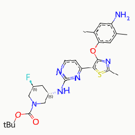 Cc1nc(Oc2cc(C)c(N)cc2C)c(-c2ccnc(N[C@H]3C[C@H](F)CN(C(=O)OC(C)(C)C)C3)n2)s1